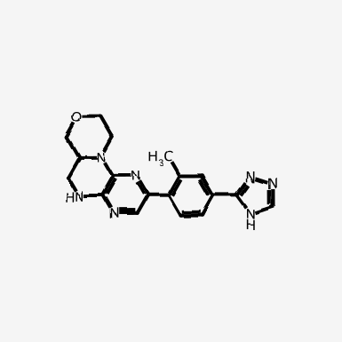 Cc1cc(-c2nnc[nH]2)ccc1-c1cnc2c(n1)N1CCOCC1CN2